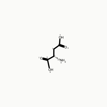 [15NH2][C@@H](CC(=O)O)C(=O)O